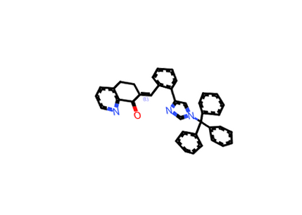 O=C1/C(=C/c2ccccc2-c2cn(C(c3ccccc3)(c3ccccc3)c3ccccc3)cn2)CCc2cccnc21